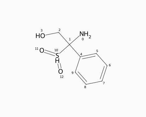 NC(CO)(c1ccccc1)[SH](=O)=O